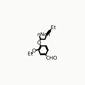 CCC#CCC(CCCCCCCCC)Oc1ccc(C=O)cc1OCC